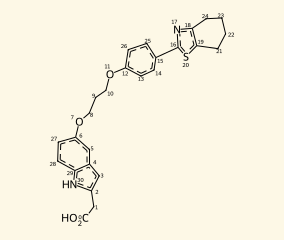 O=C(O)Cc1cc2cc(OCCCOc3ccc(-c4nc5c(s4)CCCC5)cc3)ccc2[nH]1